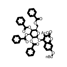 CCCCOc1ccc2c(O[C@@H]3O[C@H](COC(=O)c4ccccc4)[C@H](OC(=O)c4ccccc4)[C@H](OC(=O)c4ccccc4)[C@H]3OC(=O)c3ccccc3)c(OC(C)=O)c(=O)oc2c1